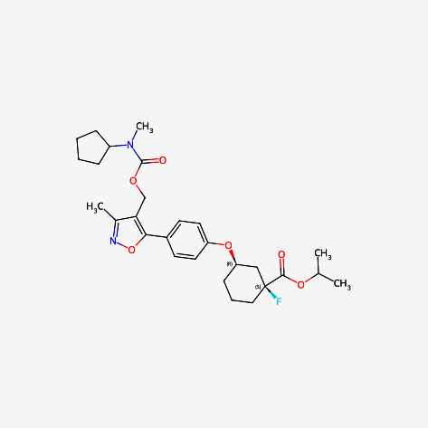 Cc1noc(-c2ccc(O[C@@H]3CCC[C@@](F)(C(=O)OC(C)C)C3)cc2)c1COC(=O)N(C)C1CCCC1